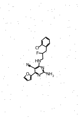 N#Cc1c(NCC(F)Cc2ccccc2Cl)nc(N)nc1-c1ccco1